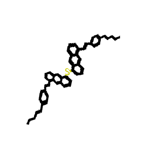 CCCCCc1ccc(/C=C/c2cccc3cc4c(Sc5cccc6cc7c(/C=C/c8ccc(CCCCC)cc8)cccc7cc56)cccc4cc23)cc1